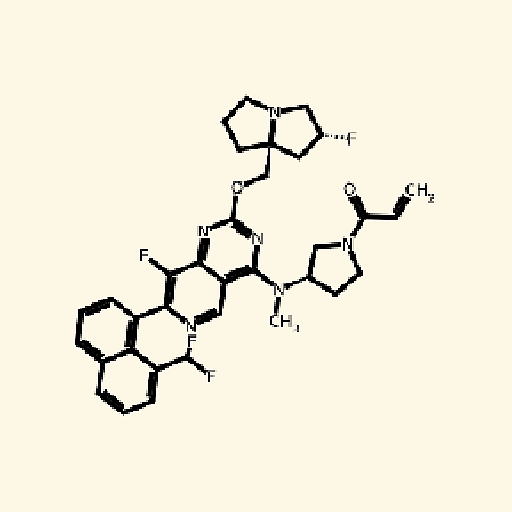 C=CC(=O)N1CC[C@@H](N(C)c2nc(OC[C@@]34CCCN3C[C@H](F)C4)nc3c(F)c(-c4cccc5cccc(C(F)F)c45)ncc23)C1